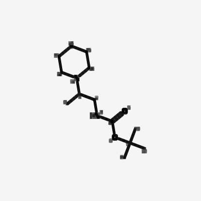 CC(CNC(=O)OC(C)(C)C)N1CC[CH]CC1